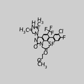 COCCO[C@H]1CSc2c(-c3cc(Cl)c(F)cc3F)c(C(F)(F)F)cc3c(N4C[C@@H](C)N[C@@H](C)C4)nc(=O)n(c23)C1